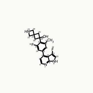 Cc1cc(-c2ccnc3[nH]cc(F)c23)cc(F)c1C1(O)CC2(CNC2)C1